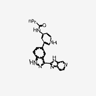 CCCC(=O)NC1=CC(c2ccc3[nH]nc(-c4nc5ccncc5[nH]4)c3c2)=CNC=C1